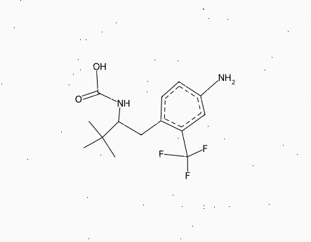 CC(C)(C)C(Cc1ccc(N)cc1C(F)(F)F)NC(=O)O